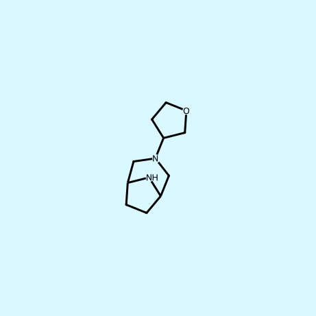 C1CC(N2CC3CCC(C2)N3)CO1